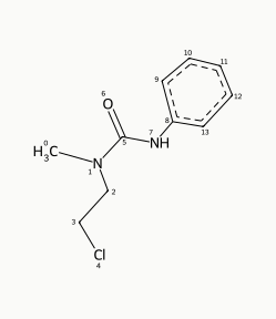 CN(CCCl)C(=O)Nc1ccccc1